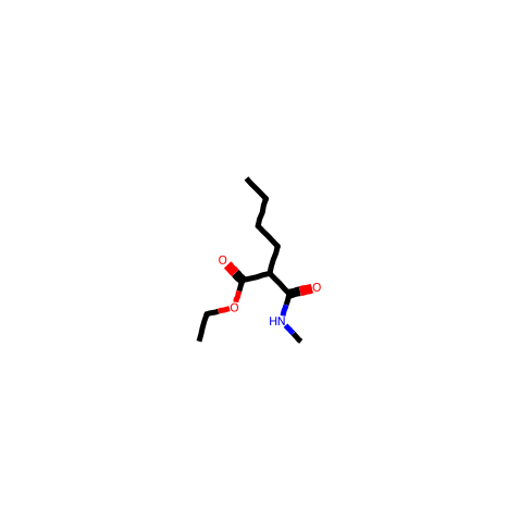 CCCCC(C(=O)NC)C(=O)OCC